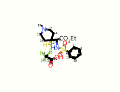 CCOC(=O)C(NS(=O)(=O)c1ccccc1)C1(S)CCN(C)CC1.O=C(O)C(F)(F)F